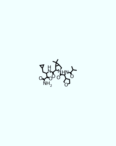 CC(C)C(=O)NC(C(=O)N1CC2C(C1C(=O)NC(CC1CC1)C(=O)C(N)=O)C2(C)C)C1CCOC1